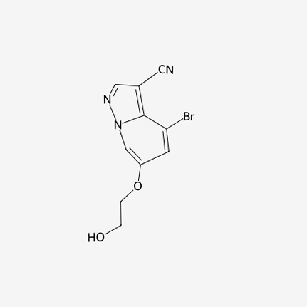 N#Cc1cnn2cc(OCCO)cc(Br)c12